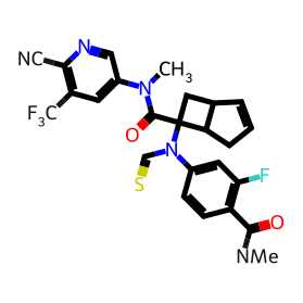 CNC(=O)c1ccc(N(C=S)C2(C(=O)N(C)c3cnc(C#N)c(C(F)(F)F)c3)CC3C=CCC32)cc1F